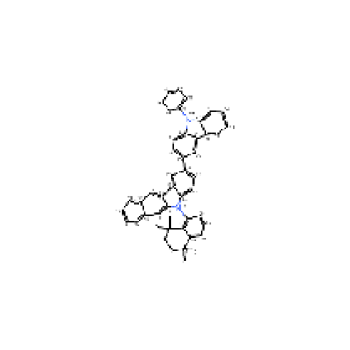 CC1(C)CCC(C)(C)c2c(-n3c4ccc(-c5ccc6c(c5)c5ccccc5n6C5=CC=CCC5)cc4c4cc5ccccc5cc43)cccc21